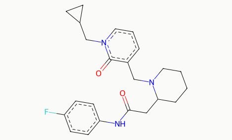 O=C(CC1CCCCN1Cc1cccn(CC2CC2)c1=O)Nc1ccc(F)cc1